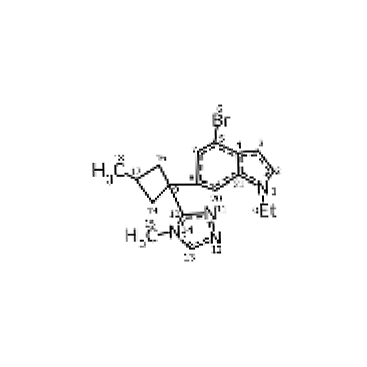 CCn1ccc2c(Br)cc(C3(c4nncn4C)CC(C)C3)cc21